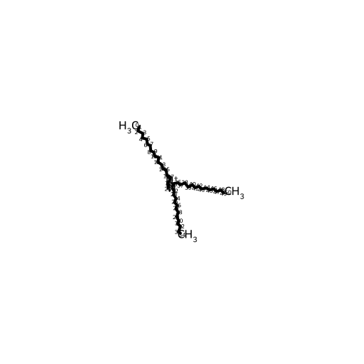 CCCCCCCCCCCCCCCCCC[n+]1ccn(CCCCCCCCCCCCC)c1CCCCCCCCCCCCCCC